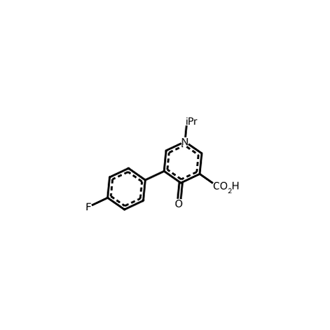 CC(C)n1cc(C(=O)O)c(=O)c(-c2ccc(F)cc2)c1